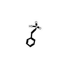 O=S(=O)(S)C=Cc1ccccc1